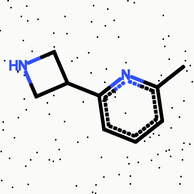 Cc1cccc(C2CNC2)n1